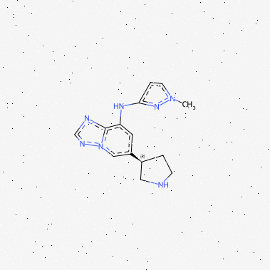 Cn1ccc(Nc2cc([C@H]3CCNC3)cn3ncnc23)n1